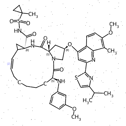 COc1cccc(N[C@H]2CCCCC/C=C\C3C[C@@]3(C(=O)NS(=O)(=O)C3(C)CC3)NC(=O)[C@@H]3C[C@@H](Oc4cc(-c5nc(C(C)C)cs5)nc5c(C)c(OC)ccc45)CN3C2=O)c1